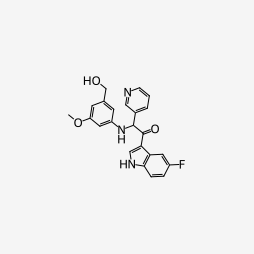 COc1cc(CO)cc(NC(C(=O)c2c[nH]c3ccc(F)cc23)c2cccnc2)c1